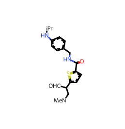 CNCC(C=O)c1ccc(C(=O)NCc2ccc(NC(C)C)cc2)s1